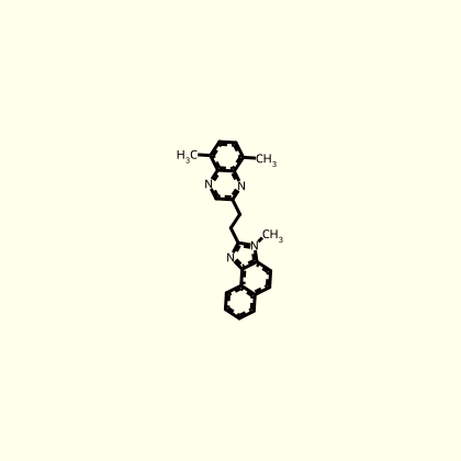 Cc1ccc(C)c2nc(CCc3nc4c5ccccc5ccc4n3C)cnc12